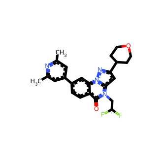 Cc1cc(-c2ccc3c(=O)n(CC(F)F)c4cc(C5CCOCC5)nn4c3c2)cc(C)n1